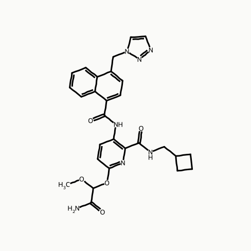 COC(Oc1ccc(NC(=O)c2ccc(Cn3ccnn3)c3ccccc23)c(C(=O)NCC2CCC2)n1)C(N)=O